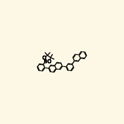 CC1(C)OB(c2ccccc2-c2ccc3cc(-c4cccc(-c5ccc6ccccc6c5)c4)ccc3c2)OC1(C)C